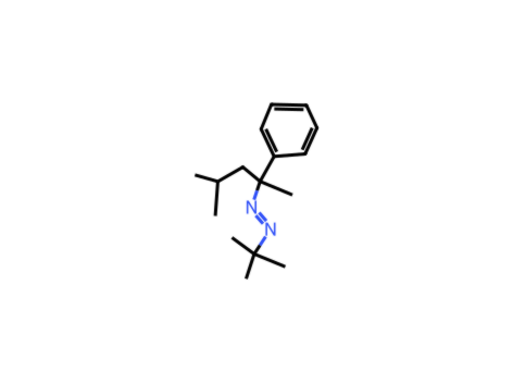 CC(C)CC(C)(N=NC(C)(C)C)c1ccccc1